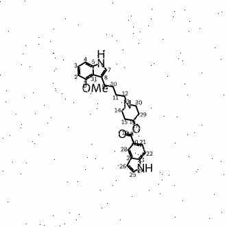 COc1cccc2[nH]cc(CCCCN3CCC(OC(=O)c4ccc5[nH]ccc5c4)CC3)c12